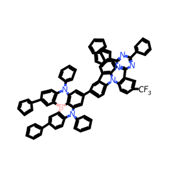 FC(F)(F)c1ccc(-n2c3ccc(-c4ccccc4)cc3c3cc(-c4cc5c6c(c4)N(c4ccccc4)c4ccc(-c7ccccc7)cc4B6c4cc(-c6ccccc6)ccc4N5c4ccccc4)ccc32)c(-c2nc(-c3ccccc3)nc(-c3ccccc3)n2)c1